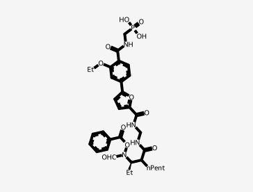 CCCCCC(C(=O)NCNC(=O)c1ccc(-c2ccc(C(=O)NCP(=O)(O)O)c(OCC)c2)o1)[C@@H](CC)N(C=O)OC(=O)c1ccccc1